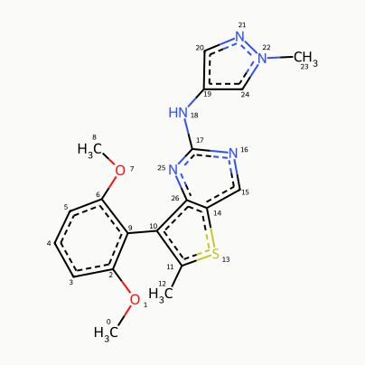 COc1cccc(OC)c1-c1c(C)sc2cnc(Nc3cnn(C)c3)nc12